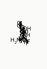 CC(=O)CC(=O)OCC1=C(C(=O)O)N2C(=O)C(NC(=O)C(=NOCC(F)(F)F)c3nsc(N)n3)[C@@H]2SC1